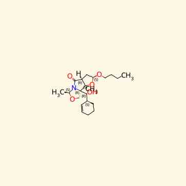 CCCCO[C@@H]1C[C@H]2C(=O)N3[C@H](C)OC[C@@]3([C@H](O)[C@@H]3C=CCCC3)[C@@]2(C)O1